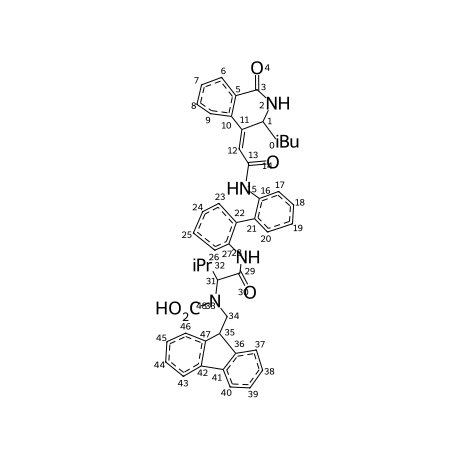 CCC(C)C1NC(=O)c2ccccc2/C1=C/C(=O)Nc1ccccc1-c1ccccc1NC(=O)C(C(C)C)N(CC1c2ccccc2-c2ccccc21)C(=O)O